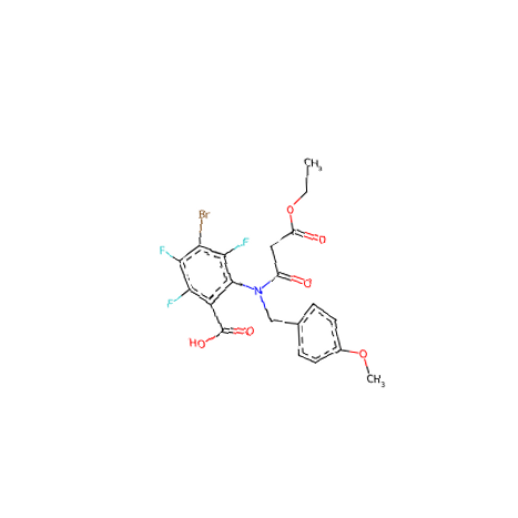 CCOC(=O)CC(=O)N(Cc1ccc(OC)cc1)c1c(F)c(Br)c(F)c(F)c1C(=O)O